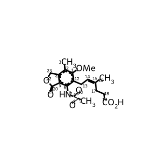 COc1c(C)c2c(c(NS(C)(=O)=O)c1CC=C(C)CCC(=O)O)C(=O)OC2